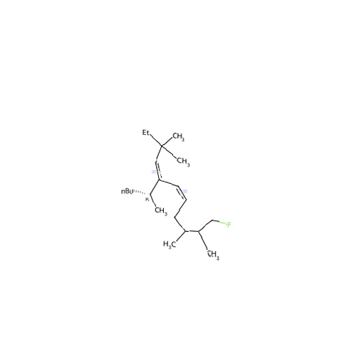 CCCC[C@@H](C)C(/C=C\CC(C)C(C)CF)=C/C(C)(C)CC